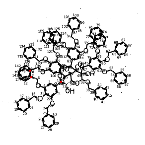 O=C(c1cc(OCc2ccccc2)c(OCc2ccccc2)c(OCc2ccccc2)c1)C(O)[C@H]1OC(OCc2ccccc2)[C@@](O)(C(=O)c2cc(OCc3ccccc3)c(OCc3ccccc3)c(OCc3ccccc3)c2)[C@](O)(C(=O)c2cc(OCc3ccccc3)c(OCc3ccccc3)c(OCc3ccccc3)c2)[C@@]1(O)C(=O)c1cc(OCc2ccccc2)c(OCc2ccccc2)c(OCc2ccccc2)c1